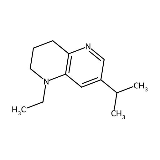 CCN1CCCc2ncc(C(C)C)cc21